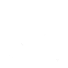 COCCCOC(c1ccccc1)C1CCCN(CC(=O)O)C1